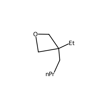 CCCCC1(CC)COC1